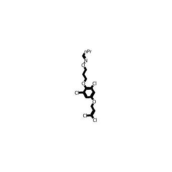 CCCC=NOCCCOc1c(Cl)cc(OCC=C(Cl)Cl)cc1Cl